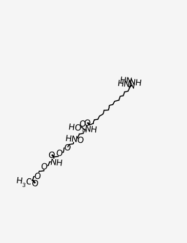 CC(=O)COCCOCCNC(=O)COCCOCCNC(=O)CC[C@H](NC(=O)CCCCCCCCCCCCCCCC1=NNNN1)C(=O)O